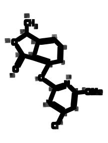 COc1cc(Cl)nc(Oc2cccc3c2C(=O)OC3C)n1